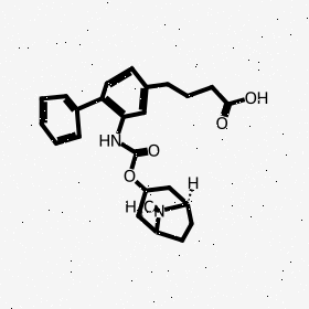 CN1C2CC[C@@H]1CC(OC(=O)Nc1cc(CCCC(=O)O)ccc1-c1ccccc1)C2